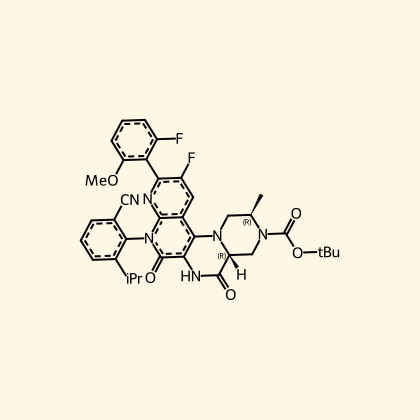 COc1cccc(F)c1-c1nc2c(cc1F)c1c(c(=O)n2-c2c(C#N)cccc2C(C)C)NC(=O)[C@H]2CN(C(=O)OC(C)(C)C)[C@H](C)CN12